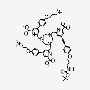 COC(=O)c1cc(C#Cc2ccc(OCCCNC(=O)OC(C)(C)C)cc2)cc(CN2CCN(Cc3cc(-c4ccc(OCCCN(C)C)cc4)cc(C(=O)OC)n3)CCN(Cc3cc(-c4ccc(OCCCN(C)C)cc4)cc(C(=O)OC)n3)CC2)n1